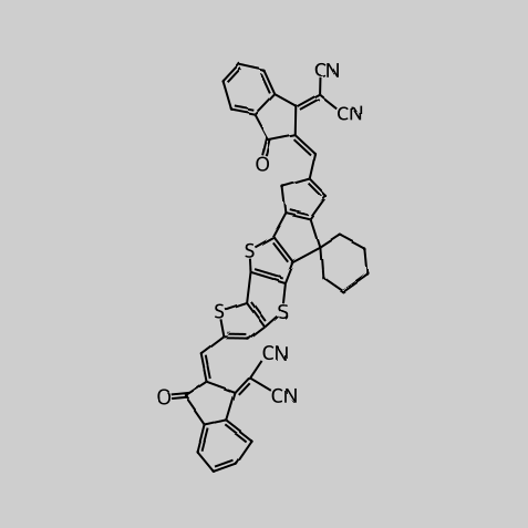 N#CC(C#N)=C1/C(=C/C2=CC3=C(C2)c2sc4c(sc5cc(/C=C6/C(=O)c7ccccc7C6=C(C#N)C#N)sc54)c2C32CCCCC2)C(=O)c2ccccc21